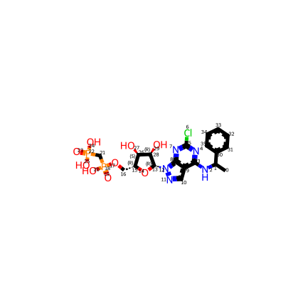 CC(Nc1nc(Cl)nc2c1cnn2[C@@H]1O[C@H](COP(=O)(O)CP(=O)(O)O)[C@@H](O)[C@H]1O)c1ccccc1